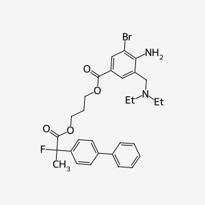 CCN(CC)Cc1cc(C(=O)OCCCOC(=O)C(C)(F)c2ccc(-c3ccccc3)cc2)cc(Br)c1N